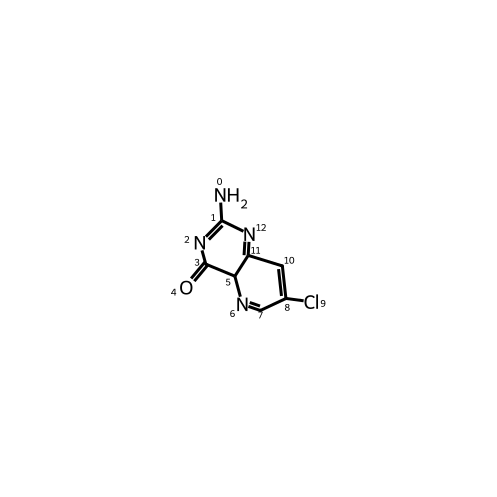 NC1=NC(=O)C2N=CC(Cl)=CC2=N1